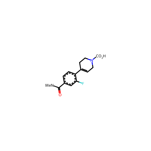 CNC(=O)c1ccc(C2=CCN(C(=O)O)CC2)c(F)c1